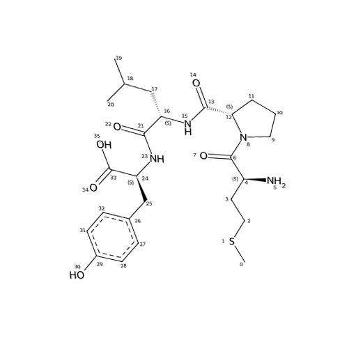 CSCC[C@H](N)C(=O)N1CCC[C@H]1C(=O)N[C@@H](CC(C)C)C(=O)N[C@@H](Cc1ccc(O)cc1)C(=O)O